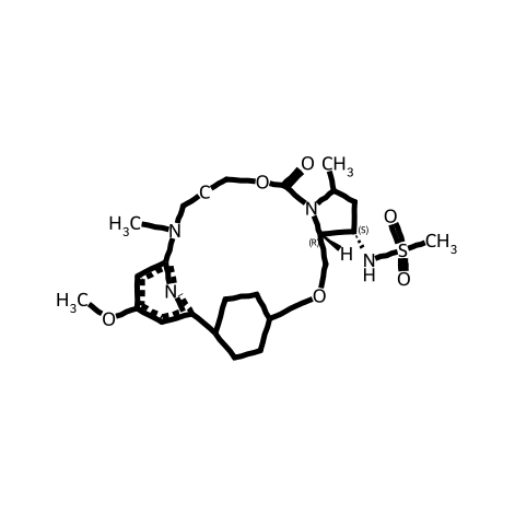 COc1cc2nc(c1)N(C)CCCOC(=O)N1C(C)C[C@H](NS(C)(=O)=O)[C@@H]1COC1CCC2CC1